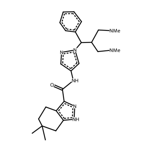 CNCC(CNC)C(c1ccccc1)n1cc(NC(=O)c2n[nH]c3c2CCC(C)(C)C3)cn1